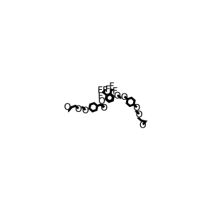 O=C(Oc1ccc(OCOC2CCC(OCOCC3CO3)CC2)c(C(F)(F)F)c1C(F)(F)F)C1CCC(OCOCC2CO2)CC1